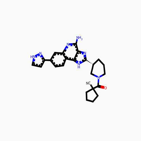 N#CC1(C(=O)N2CCC[C@@H](c3nc4c(N)nc5cc(-c6cc[nH]n6)ccc5c4[nH]3)C2)CCCC1